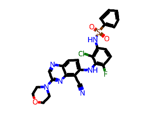 N#Cc1c(Nc2c(F)ccc(NS(=O)(=O)c3ccccc3)c2Cl)ccc2ncc(N3CCOCC3)nc12